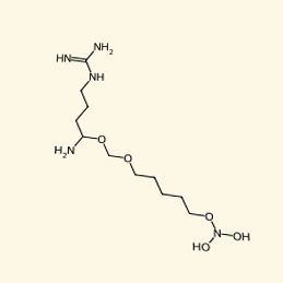 N=C(N)NCCCC(N)OCOCCCCCON(O)O